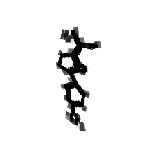 C[C@H](N)[C@@H]1CC[C@H](c2ccc(C(F)(F)F)cc2)O1